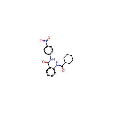 O=C(Nc1ccc([N+](=O)[O-])cc1)c1ccccc1NC(=O)C1CCCCC1